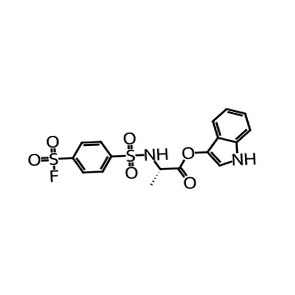 C[C@H](NS(=O)(=O)c1ccc(S(=O)(=O)F)cc1)C(=O)Oc1c[nH]c2ccccc12